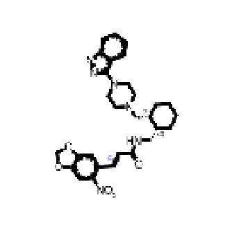 O=C(/C=C/c1cc2c(cc1[N+](=O)[O-])OCO2)NC[C@H]1CCCC[C@H]1CN1CCN(c2nsc3ccccc23)CC1